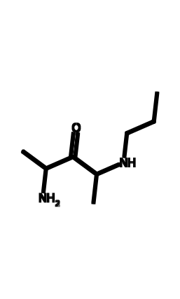 CCCNC(C)C(=O)C(C)N